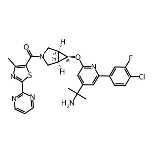 Cc1nc(-c2ncccn2)sc1C(=O)N1C[C@@H]2[C@H](C1)[C@@H]2Oc1cc(C(C)(C)N)cc(-c2ccc(Cl)c(F)c2)n1